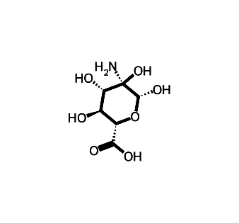 N[C@]1(O)[C@H](O)O[C@H](C(=O)O)[C@@H](O)[C@@H]1O